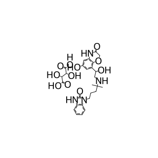 CC(C)(CCCn1c(=O)[nH]c2ccccc21)NC[C@H](O)c1cc(O)cc2c1OCC(=O)N2.O=C(O)C(O)C(O)C(=O)O